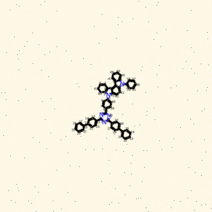 C1=Cc2c(n(-c3ccc(-c4nc(-c5ccc(-c6ccccc6)cc5)nc(-c5ccc(-c6ccccc6)cc5)n4)cc3)c3ccc4c(c5ccccc5n4-c4ccccc4)c23)CC1